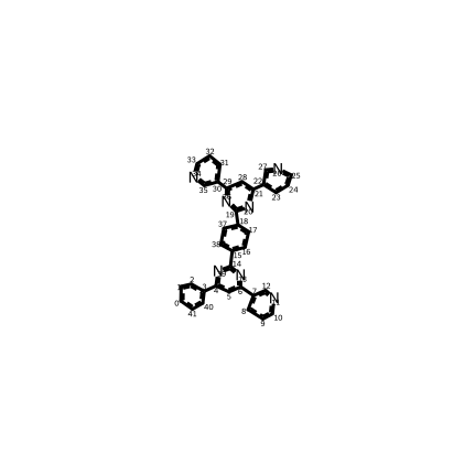 c1ccc(-c2cc(-c3cccnc3)nc(-c3ccc(-c4nc(-c5cccnc5)cc(-c5cccnc5)n4)cc3)n2)cc1